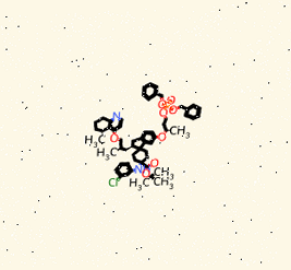 C[C@@H](COc1ccnc2c1[C@H](C)CCC2)C[C@H]1Cc2ccc(O[C@@H](C)CCOP(=O)(OCc3ccccc3)OCc3ccccc3)cc2C12CCC(Nc1cccc(Cl)c1)(C(=O)OC(C)(C)C)CC2